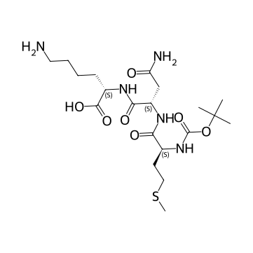 CSCC[C@H](NC(=O)OC(C)(C)C)C(=O)N[C@@H](CC(N)=O)C(=O)N[C@@H](CCCCN)C(=O)O